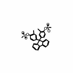 Cc1cc(C2(c3ccc(OS(C)(=O)=O)c(C)c3)c3ccccc3-c3ccccc32)ccc1OS(C)(=O)=O